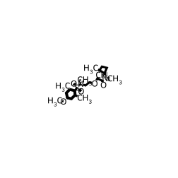 COc1cc(C)c(S(=O)(=O)N(C)CCOCC(=O)N(C)[C@@H]2CCC2(C)C)c(C)c1